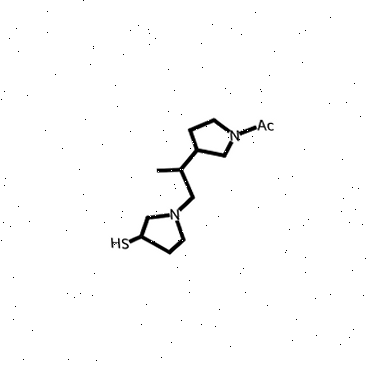 CC(=O)N1CCC(C(C)CN2CCC(S)C2)C1